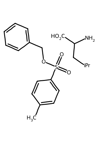 CC(C)CC(N)C(=O)O.Cc1ccc(S(=O)(=O)OCc2ccccc2)cc1